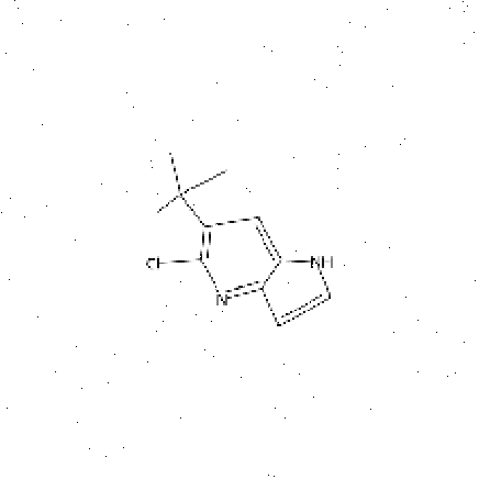 CC(C)(C)c1cc2[nH]ccc2nc1Cl